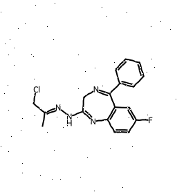 C/C(CCl)=N\NC1=Nc2ccc(F)cc2C(c2ccccc2)=NC1